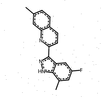 Cc1ccc2ccc(-c3n[nH]c4c(C)cc(F)cc34)nc2c1